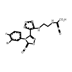 O=C=C(NCCNc1nonc1C1=NOC(=C=O)N1c1ccc(F)c(Br)c1)C(=O)O